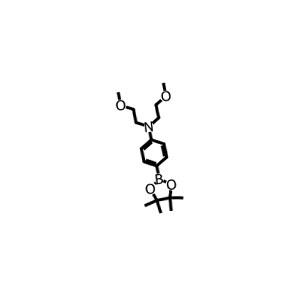 COCCN(CCOC)c1ccc(B2OC(C)(C)C(C)(C)O2)cc1